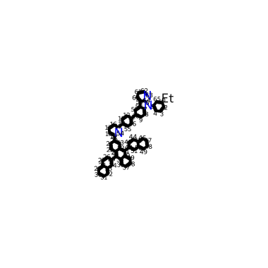 CCc1cccc(-n2c3ccc(-c4ccc(-c5cccc(-c6ccc7c(-c8ccc9ccccc9c8)c8ccccc8c(-c8ccc9ccccc9c8)c7c6)n5)cc4)cc3c3cccnc32)c1